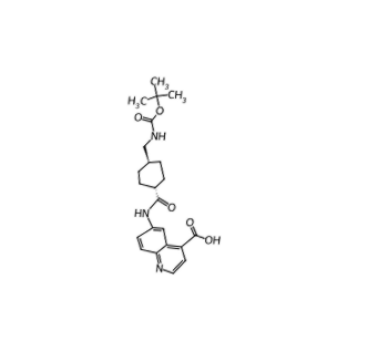 CC(C)(C)OC(=O)NC[C@H]1CC[C@H](C(=O)Nc2ccc3nccc(C(=O)O)c3c2)CC1